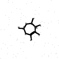 CC1=C(C)N(C)C(C)CN(C)C1